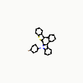 Brc1ccc(-n2c3ccccc3c3c4ccccc4c4c5ccccc5sc4c32)cc1